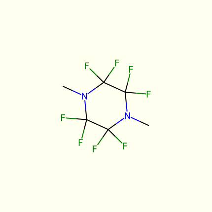 CN1C(F)(F)C(F)(F)N(C)C(F)(F)C1(F)F